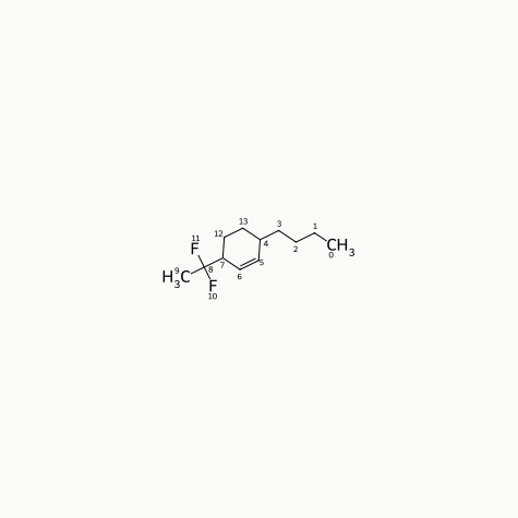 CCCCC1C=CC(C(C)(F)F)CC1